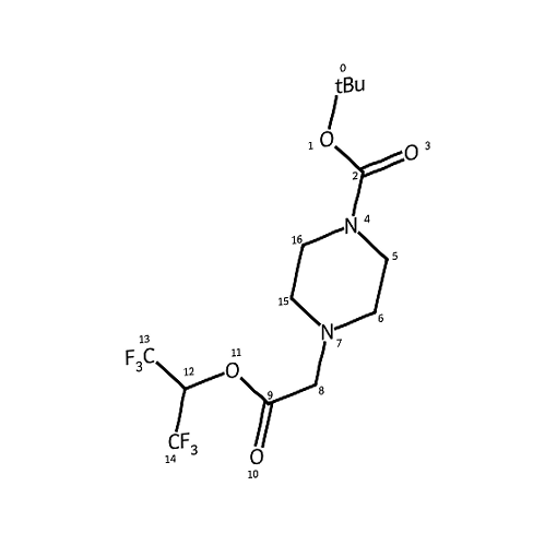 CC(C)(C)OC(=O)N1CCN(CC(=O)OC(C(F)(F)F)C(F)(F)F)CC1